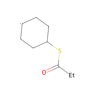 CCC(=O)SC1CC[CH]CC1